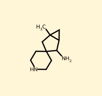 CC12CC1C(N)C1(CCNCC1)C2